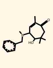 CC1=CC(N(C)Cc2ccccc2)C(O)C(C)(C)CC1=O